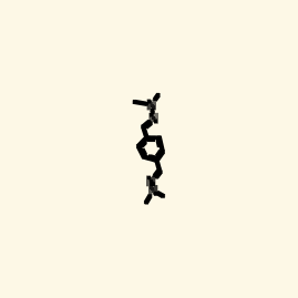 CN(C)N=Cc1ccc(C=NN(C)C)cc1